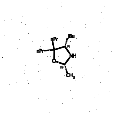 CCCC1(CCC)O[C@@H](C)N[C@H]1C(C)CC